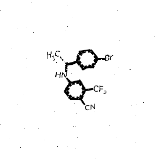 C[C@@H](Nc1ccc(C#N)c(C(F)(F)F)c1)c1ccc(Br)cc1